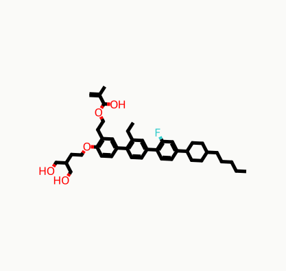 C=C(C)C(O)OCCc1cc(-c2ccc(-c3ccc(C4CCC(CCCCC)CC4)cc3F)cc2CC)ccc1OCCC(CO)CO